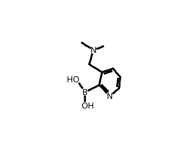 CN(C)Cc1cccnc1B(O)O